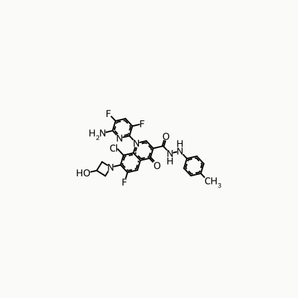 Cc1ccc(NNC(=O)c2cn(-c3nc(N)c(F)cc3F)c3c(Cl)c(N4CC(O)C4)c(F)cc3c2=O)cc1